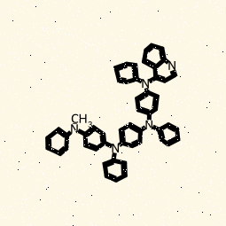 CN(c1ccccc1)c1ccc(N(c2ccccc2)c2ccc(N(c3ccccc3)c3ccc(N(c4ccccc4)c4ccnc5ccccc45)cc3)cc2)cc1